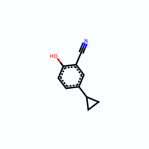 N#Cc1cc(C2CC2)ccc1O